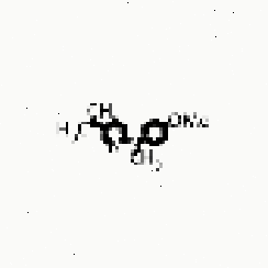 C=C(C)c1ccc(N(C)c2ccc(OC)cc2)nc1